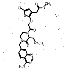 COC[C@H]1C(=O)N(Cc2ccc3c(N)ncnc3c2)CCN1C(=O)COc1sc(Cl)cc1CC(=O)OC